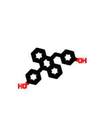 Oc1ccc(Cc2c3ccccc3c(-c3ccc(O)cc3)c3ccccc23)cc1